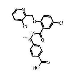 C[C@H](NC(=O)c1cc(Cl)ccc1OCc1ncccc1Cl)c1ccc(C(=O)O)cc1